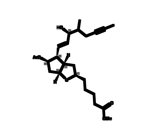 CC#CCC(C)[C@H](O)C=C[C@@H]1[C@H]2C[C@@H](CCCCC(=O)OC)O[C@H]2C[C@H]1OC(C)=O